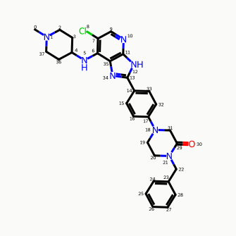 CN1CCC(Nc2c(Cl)cnc3[nH]c(-c4ccc(N5CCN(Cc6ccccc6)C(=O)C5)cc4)nc23)CC1